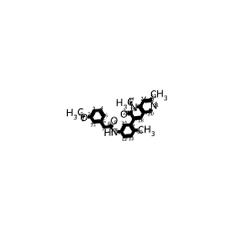 COc1cccc(CC(=O)Nc2ccc(C)c(-c3cc4cnc(C)cc4n(C)c3=O)c2)c1